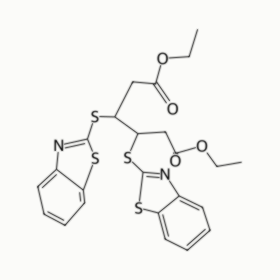 CCOC(=O)CC(Sc1nc2ccccc2s1)C(CC(=O)OCC)Sc1nc2ccccc2s1